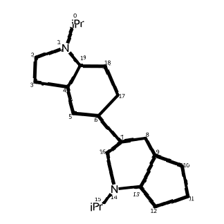 CC(C)N1CCC2CC(C3CC4CCCC4N(C(C)C)C3)CCC21